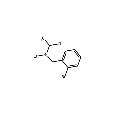 CCN(Cc1ccccc1Br)C(C)Cl